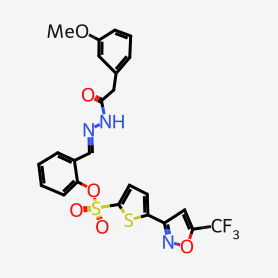 COc1cccc(CC(=O)NN=Cc2ccccc2OS(=O)(=O)c2ccc(-c3cc(C(F)(F)F)on3)s2)c1